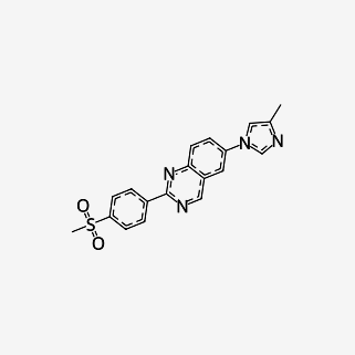 Cc1cn(-c2ccc3nc(-c4ccc(S(C)(=O)=O)cc4)ncc3c2)cn1